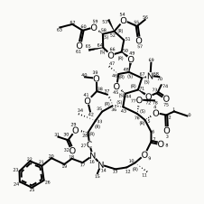 CCC(=O)O[C@@H]1CC(=O)O[C@H](C)CCN(C)N(CCCCc2ccccc2)C[C@H](OC(C)=O)[C@H](C)C[C@H](CC(OC)OC)[C@H]([C@@H]2O[C@H](C)[C@@H](O[C@@H]3C[C@@](C)(OC(C)=O)[C@@H](OC(=O)CC)[C@H](C)O3)[C@H](N(C)C)[C@H]2OC(C)=O)[C@@H]1OC